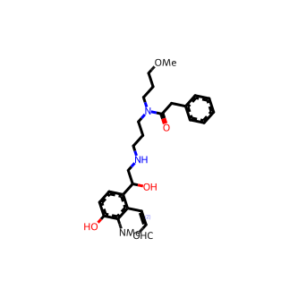 CNc1c(O)ccc(C(O)CNCCCN(CCCOC)C(=O)Cc2ccccc2)c1/C=C\C=O